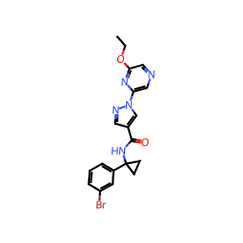 CCOc1cncc(-n2cc(C(=O)NC3(c4cccc(Br)c4)CC3)cn2)n1